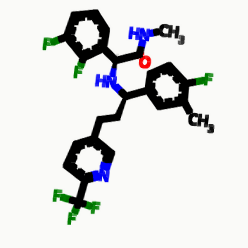 CNC(=O)[C@@H](N[C@H](CCc1ccc(C(F)(F)F)nc1)c1ccc(F)c(C)c1)c1cccc(F)c1F